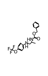 CC(CNc1ccc(OC(F)(F)F)cc1)NC(=O)OCc1ccccc1